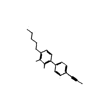 CC#Cc1ccc(-c2ccc(CCCCC)c(F)c2F)cc1